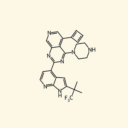 CC(C)(c1cc2c(-c3nc(N4CCNCC4)c4c(C5=CC=C5)cncc4n3)ccnc2[nH]1)C(F)(F)F